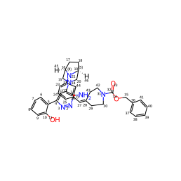 Nc1nnc(-c2ccccc2O)cc1N1C[C@H]2CC[C@@H](C1)N2c1cccc(C=C2CCN(C(=O)OCc3ccccc3)CC2)c1